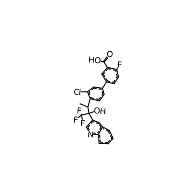 CC(c1ccc(-c2ccc(F)c(C(=O)O)c2)cc1Cl)C(O)(c1cnc2ccccc2c1)C(F)(F)F